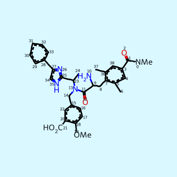 CNC(=O)c1cc(C)c(CC(N)C(=O)N(Cc2ccc(OC)c(C(=O)O)c2)C(C)c2nc(-c3ccccc3)c[nH]2)c(C)c1